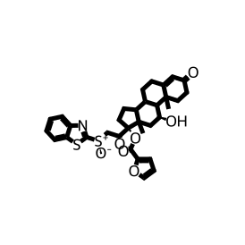 CC12CCC(=O)C=C1CCC1C2[C@@H](O)CC2(C)C1CC[C@]2(OC(=O)c1ccco1)C(=O)C[S@+]([O-])c1nc2ccccc2s1